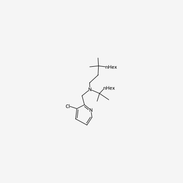 CCCCCCC(C)(C)CCN(Cc1ncccc1Cl)C(C)(C)CCCCCC